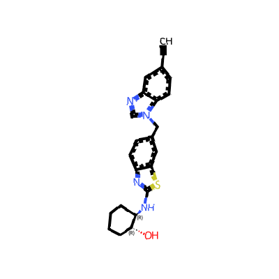 C#Cc1ccc2c(c1)ncn2Cc1ccc2nc(N[C@@H]3CCCC[C@H]3O)sc2c1